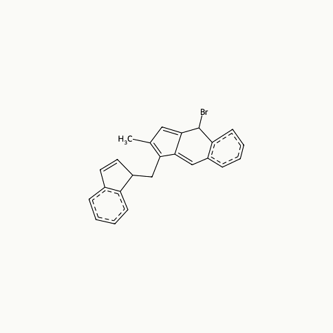 CC1=C(CC2C=Cc3ccccc32)C2=Cc3ccccc3C(Br)C2=C1